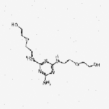 Nc1nc(NCCOCCO)nc(NCCOCCO)n1